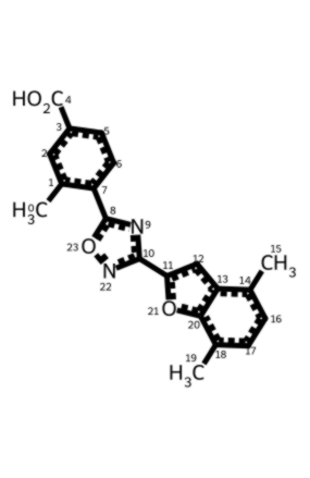 Cc1cc(C(=O)O)ccc1-c1nc(-c2cc3c(C)ccc(C)c3o2)no1